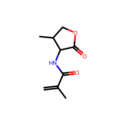 C=C(C)C(=O)NC1C(=O)OCC1C